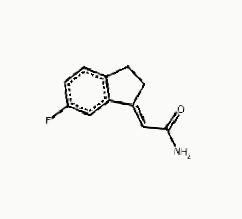 NC(=O)/C=C1\CCc2ccc(F)cc21